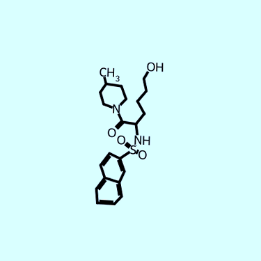 CC1CCN(C(=O)C(CCCCO)NS(=O)(=O)c2ccc3ccccc3c2)CC1